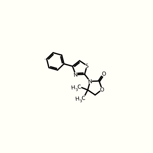 CC1(C)COC(=O)N1c1nc(-c2cc[c]cc2)cs1